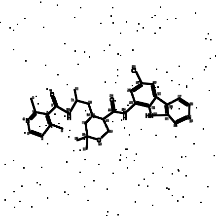 Cc1ccnc(C)c1C(=O)NC(C)CN1CC(C)(C)OCC1C(=O)Nc1cc(Cl)cc2c1[nH]c1cnccc12